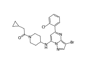 O=C(CC1CC1)N1CCC(Nc2cc(-c3ccccc3Cl)nc3c(Br)cnn23)CC1